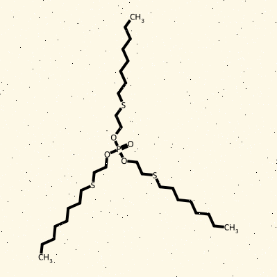 CCCCCCCCSCCOP(=O)(OCCSCCCCCCCC)OCCSCCCCCCCC